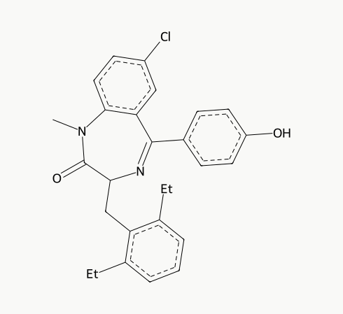 CCc1cccc(CC)c1CC1N=C(c2ccc(O)cc2)c2cc(Cl)ccc2N(C)C1=O